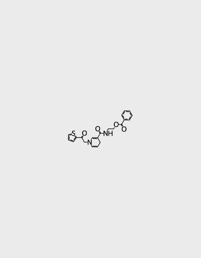 O=C(NCCOC(=O)c1ccccc1)C1=CN(CC(=O)c2cccs2)C=CC1